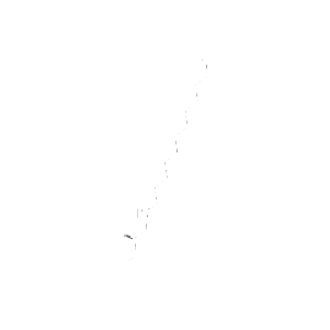 CCCCCCCCCCCCNCC(=O)OC